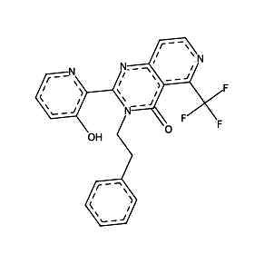 O=c1c2c(C(F)(F)F)nccc2nc(-c2ncccc2O)n1CCc1ccccc1